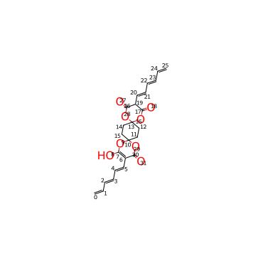 C=CC=CC=CC1=C(O)OC2(CCC3(CC2)OC(=O)C(C=CC=CC=C)C(=O)O3)OC1=O